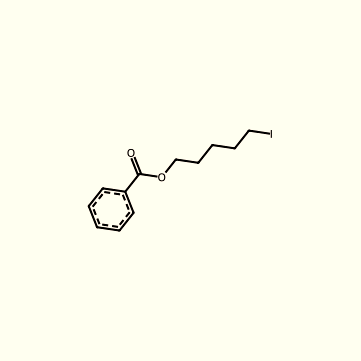 O=C(OCCCCCI)c1ccccc1